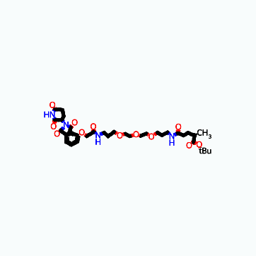 C[C@@H](CCC(=O)NCCCOCCOCCOCCCNC(=O)COc1cccc2c1C(=O)N(C1CCC(=O)NC1=O)C2=O)C(=O)OC(C)(C)C